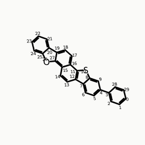 c1ccc(-c2ccc3c(c2)sc2c3ccc3c2ccc2c4ccccc4oc23)cc1